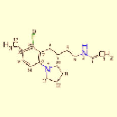 C=CNCCCCc1c(N2CCCC2)ccc(C)c1F